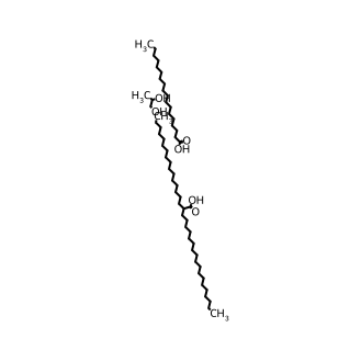 CC(O)CO.CCCCCCCCCCCCCCCCCC(=O)O.CCCCCCCCCCCCCCCCCCC(CCCCCCCCCCCCCCCC)C(=O)O